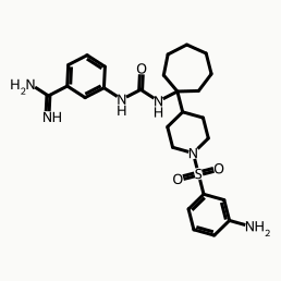 N=C(N)c1cccc(NC(=O)NC2(C3CCN(S(=O)(=O)c4cccc(N)c4)CC3)CCCCCC2)c1